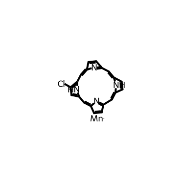 Clc1cc2cc3nc(cc4ccc(cc5nc(cc1[nH]2)C=C5)[nH]4)C=C3.[Mn]